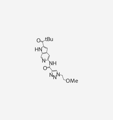 COCCn1cc(C(=O)Nc2cc3cc(C(=O)C(C)(C)C)[nH]c3cn2)nn1